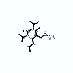 CC(C)[O][AlH][O]C(C)C.CCCCC(CC)C[O][AlH2]